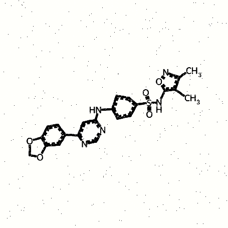 Cc1noc(NS(=O)(=O)c2ccc(Nc3cc(-c4ccc5c(c4)OCO5)ncn3)cc2)c1C